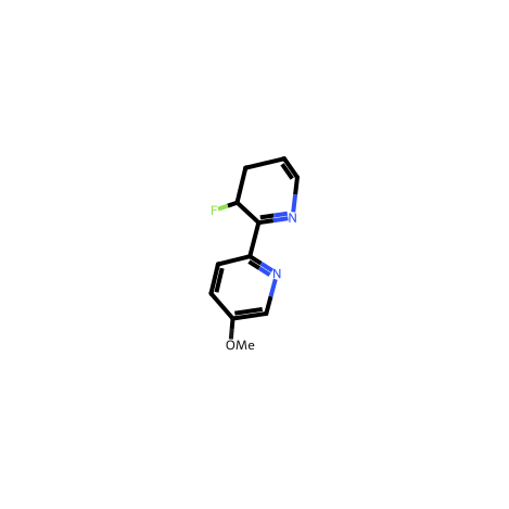 COc1ccc(C2=NC=CCC2F)nc1